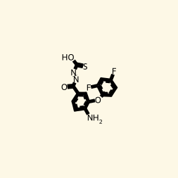 Nc1ccc(C(=O)N=NC(O)=S)cc1Oc1ccc(F)cc1F